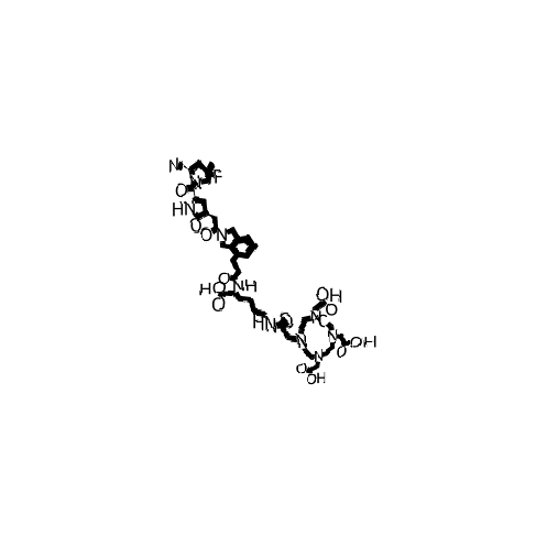 CC1(F)C[C@@H](C#N)N(C(=O)[C@@H]2C[C@@H](CC(=O)N3Cc4cccc(CCC(=O)NC(CCCCNC(=O)CN5CCN(CC(=O)O)CCN(CC(=O)O)CCN(CC(=O)O)CC5)C(=O)O)c4C3)C(=O)N2)C1